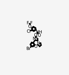 O=C(Nc1ccc(OC(F)F)c(Cl)c1)ON1CC(N2CCCC2=O)C(c2ccc(Br)cc2)=N1